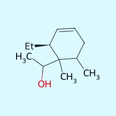 CC[C@H]1C=CCC(C)C1(C)C(C)O